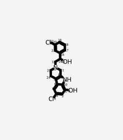 Oc1cc(Cl)cc2c3c([nH]c12)CN(CC(O)c1cccc(Cl)c1)CC3